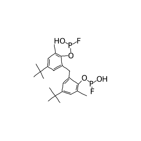 Cc1cc(C(C)(C)C)cc(Cc2cc(C(C)(C)C)cc(C)c2OP(O)F)c1OP(O)F